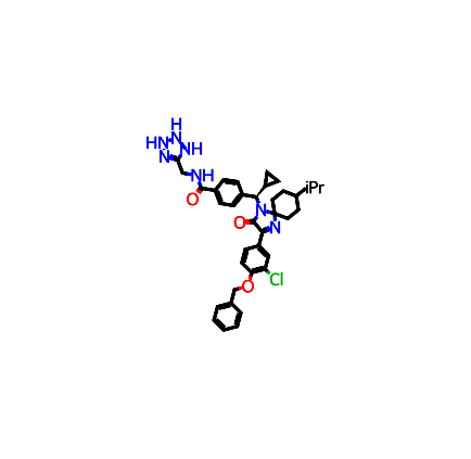 CC(C)C1CCC2(CC1)N=C(c1ccc(OCc3ccccc3)c(Cl)c1)C(=O)N2[C@@H](c1ccc(C(=O)NCC2=NNNN2)cc1)C1CC1